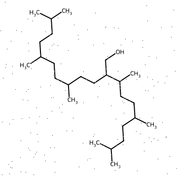 CC(C)CCC(C)CCC(C)CCC(CO)C(C)CCC(C)CCC(C)C